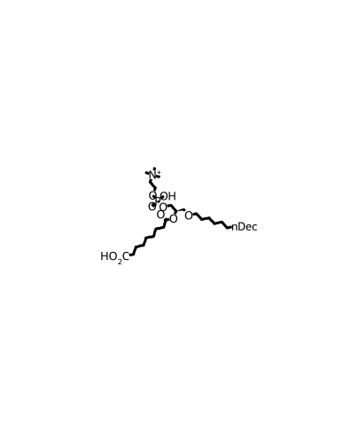 CCCCCCCCCCCCCCCCOC[C@H](COP(=O)(O)OCC[N+](C)(C)C)OC(=O)CCCCCCCC(=O)O